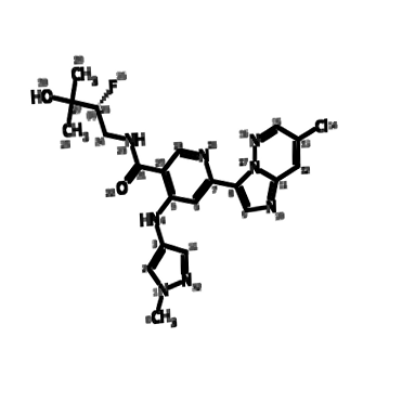 Cn1cc(Nc2cc(-c3cnc4cc(Cl)cnn34)ncc2C(=O)NC[C@@H](F)C(C)(C)O)cn1